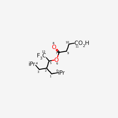 CC(C)CC(CC(C)C)C(OC(=O)CCC(=O)O)C(F)(F)F